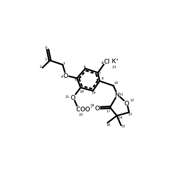 C=C(C)COc1cc(Cl)c(CN2OCC(C)(C)C2=O)cc1OC(=O)[O-].[K+]